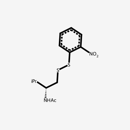 CC(=O)N[C@@H](CSSc1ccccc1[N+](=O)[O-])C(C)C